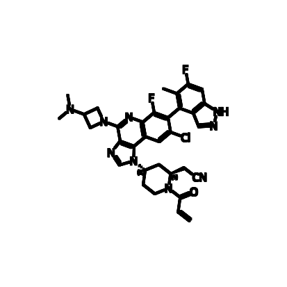 C=CC(=O)N1CC[C@H](n2cnc3c(N4CC(N(C)C)C4)nc4c(F)c(-c5c(C)c(F)cc6[nH]ncc56)c(Cl)cc4c32)C[C@H]1CC#N